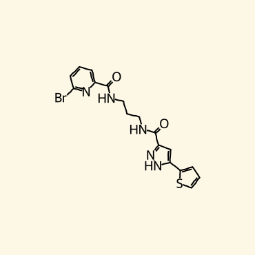 O=C(NCCCNC(=O)c1cccc(Br)n1)c1cc(-c2cccs2)[nH]n1